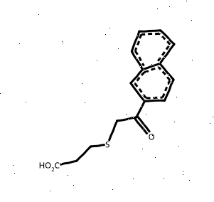 O=C(O)CCSCC(=O)c1ccc2ccccc2c1